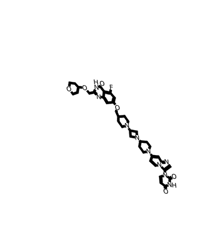 O=c1ccn(-c2cnc3cc(N4CCC(N5CC(N6CCC(COc7cc(F)c8c(=O)[nH]c(COC9CCOCC9)nc8c7)CC6)C5)CC4)ccn23)c(=O)[nH]1